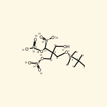 CC(C)(C)[Si](C)(C)OCC(CO)(CO[N+](=O)[O-])C(O[N+](=O)[O-])[N+](=O)[O-]